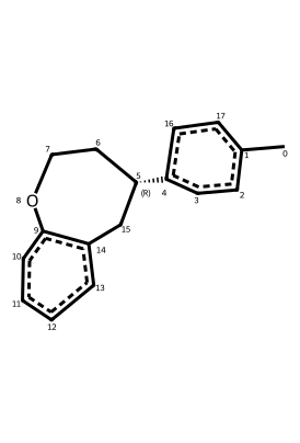 Cc1ccc([C@H]2CCOc3ccccc3C2)cc1